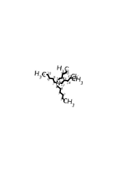 CCCCCC[N+](CCCCC)(CCCCC)CCCCC.[Cl-]